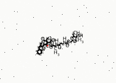 CCC(CO)OC(COC(=O)NCCC(=O)N[C@@H](C)C(=O)O[C@]1(CC)C(=O)OCc2c1cc1n(c2=O)Cc2cc3ccccc3nc2-1)OC